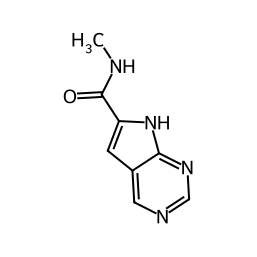 CNC(=O)c1cc2cncnc2[nH]1